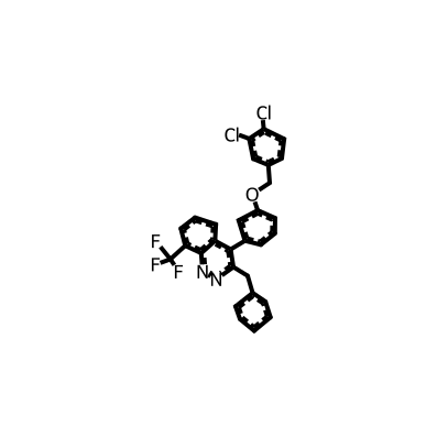 FC(F)(F)c1cccc2c(-c3cccc(OCc4ccc(Cl)c(Cl)c4)c3)c(Cc3ccccc3)nnc12